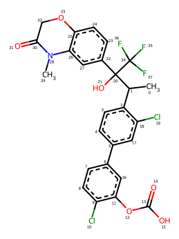 CC(c1ccc(-c2ccc(Cl)c(OC(=O)O)c2)cc1Cl)C(O)(c1ccc2c(c1)N(C)C(=O)CO2)C(F)(F)F